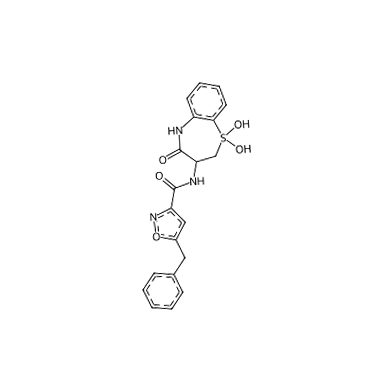 O=C(NC1CS(O)(O)c2ccccc2NC1=O)c1cc(Cc2ccccc2)on1